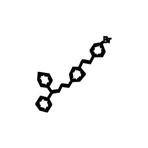 Brc1ccc(C=Cc2ccc(C=CC=C(c3ccccc3)c3ccccc3)cc2)cc1